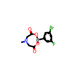 CN1CC(=O)OB(c2cc(F)cc(Br)c2)OC(=O)C1